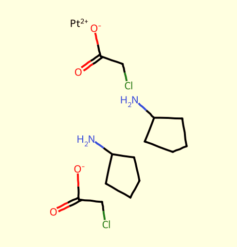 NC1CCCC1.NC1CCCC1.O=C([O-])CCl.O=C([O-])CCl.[Pt+2]